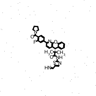 CC(C)(C(=O)Nc1ncc(C=N)s1)[C@H]1c2ccccc2Oc2nc(-c3ccc(C(=O)N4CCCC4)c(F)c3)ccc21